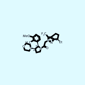 CC[C@@H]1CCc2c1nn(CC(=O)N1CC[C@@H](N3CCOCC3)[C@H]1c1cccc(OC)c1C)c2C(F)(F)F